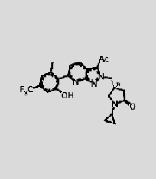 CC(=O)c1c2ccc(-c3c(C)cc(C(F)(F)F)cc3O)nc2nn1C[C@@H]1CC(=O)N(C2CC2)C1